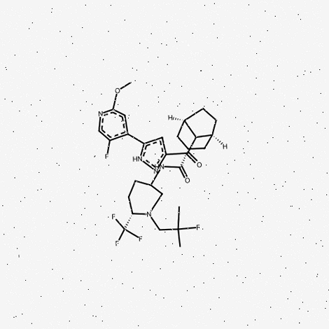 COc1cc(-c2cc(C(=O)C3[C@@H]4CC[C@H]3C[C@H](C(=O)NC3CC[C@@H](C(F)(F)F)N(CC(C)(C)F)C3)C4)n[nH]2)c(F)cn1